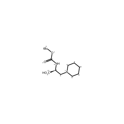 CC(C)(C)OC(=O)N[C@@H](CN1CCCCC1)C(=O)O